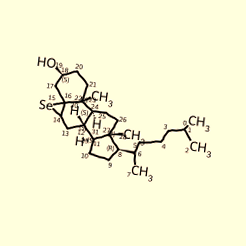 CC(C)CCCC(C)[C@H]1CC[C@H]2[C@@H]3CC4[Se]C45C[C@@H](O)CC[C@]5(C)[C@H]3CC[C@]12C